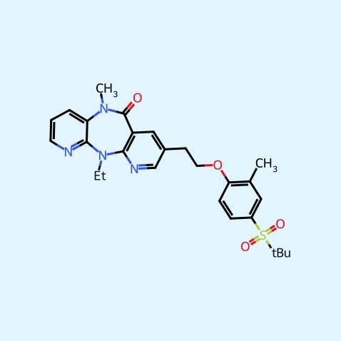 CCN1c2ncc(CCOc3ccc(S(=O)(=O)C(C)(C)C)cc3C)cc2C(=O)N(C)c2cccnc21